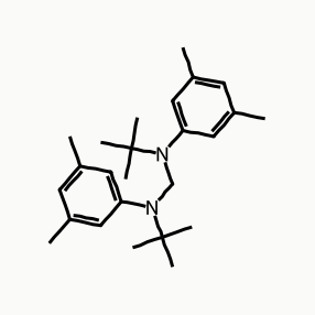 Cc1cc(C)cc(N(CN(c2cc(C)cc(C)c2)C(C)(C)C)C(C)(C)C)c1